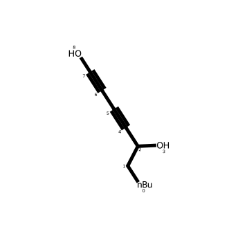 CCCCCC(O)C#CC#CO